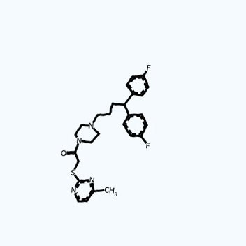 Cc1ccnc(SCC(=O)N2CCN(CCCC(c3ccc(F)cc3)c3ccc(F)cc3)CC2)n1